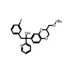 CCCCOCC1COc2ccc(C(O)(Cc3cccc(F)c3)c3ccccn3)cc2O1